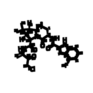 CC(C)C[C@H](NC(=O)c1cc2c(F)cccc2[nH]1)C(=O)N1C[C@H]2[C@@H]([C@H]1C(=O)N[C@@H](C)C(=O)CCl)C2(C)C